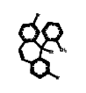 CCC1(c2ccccc2C)c2cc(Br)ccc2C=Cc2ccc(Br)cc21